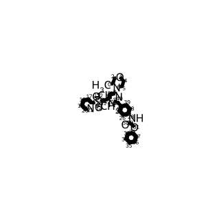 CC1COCCN1c1cc(C(C)(C)S(=O)(=O)c2ccccn2)nc(-c2ccc(NC(=O)Oc3ccccc3)cc2)n1